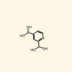 OB(O)c1ccnc(B(O)O)c1